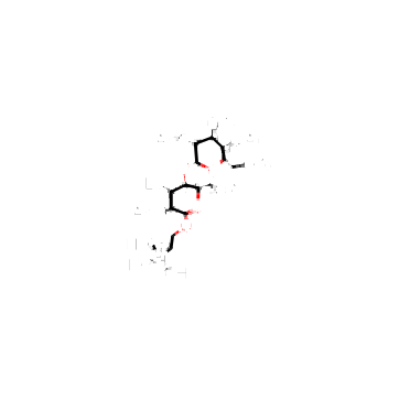 CC[C@H]1[C@@H](O[C@H]2O[C@H](COC(C)=O)[C@H](OC(C)=O)[C@H](OC(C)=O)[C@H]2OC(C)=O)[C@@H](COC(C)=O)O[C@@H](OCC[Si](C)(C)C)[C@@H]1OC(C)=O